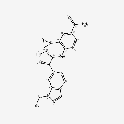 CC(C)(C)Cn1ncc2cnc(-c3n[nH]cc3Nc3ncc(C(N)=O)cc3C3CC3)cc21